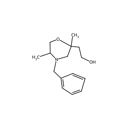 CC1COC(C)(CCO)CN1Cc1ccccc1